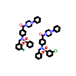 O=C(c1ccc(N(Cc2cccc(F)c2)S(=O)(=O)c2ccccc2)cc1)N1CCN(c2ccccc2)CC1.O=C(c1ccc(N(Cc2ccccc2)S(=O)(=O)c2cccc(Cl)c2)cc1)N1CCN(c2ccccc2)CC1